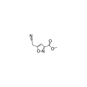 COC(=O)c1cc(CC#N)on1